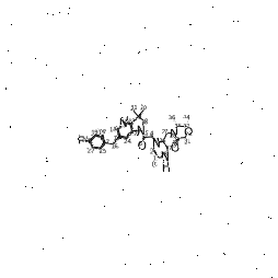 C[C@@H]1CN(CC(=O)N2CC(C)(C)c3ncc(Cc4ccc(F)cc4)cc32)[C@@H](CN2C(=O)CO[C@@H](C)[C@H]2C)CN1